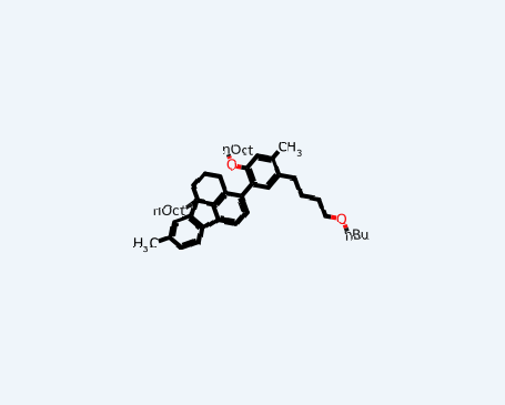 CCCCCCCCOc1cc(C)c(CCCCOCCCC)cc1-c1ccc2c3c1CCCC3(CCCCCCCC)c1cc(C)ccc1-2